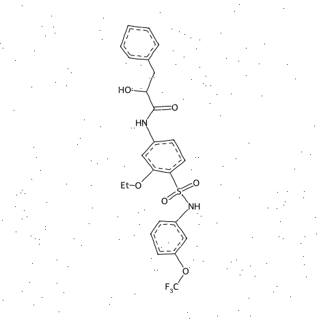 CCOc1cc(NC(=O)C(O)Cc2ccccc2)ccc1S(=O)(=O)Nc1cccc(OC(F)(F)F)c1